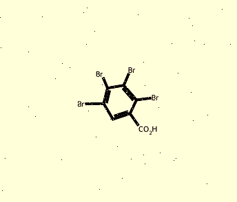 O=C(O)c1[c]c(Br)c(Br)c(Br)c1Br